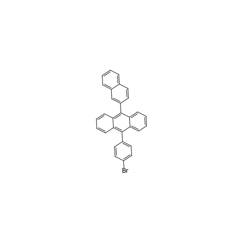 Brc1ccc(-c2c3ccccc3c(-c3ccc4ccccc4c3)c3ccccc23)cc1